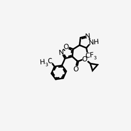 Cc1ccccc1-c1noc(C2C=NNC2C(F)(F)F)c1C(=O)OC1CC1